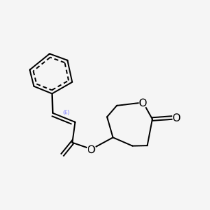 C=C(/C=C/c1ccccc1)OC1CCOC(=O)CC1